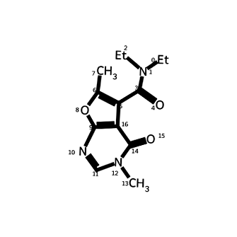 CCN(CC)C(=O)c1c(C)oc2ncn(C)c(=O)c12